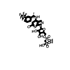 C[C@H](Nc1cc(Cl)nc2c1cnn2C1OC(COP(=O)(O)CP(=O)(O)O)C(O)C1O)c1cccc(S(F)(F)(F)(F)F)c1